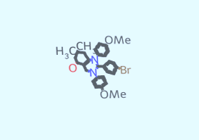 COc1ccc(N2CC3=C(CC(C)(C)CC3=O)N(c3ccc(OC)cc3)C2c2ccc(Br)cc2)cc1